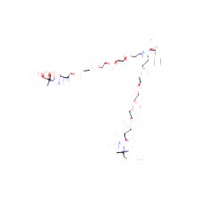 CBC(=O)N(CCOCCOCCOCCOCCC(=O)NC(C)(C)CO)CCOCCOCCOCCOCCC(=O)NC(C)(C)CO